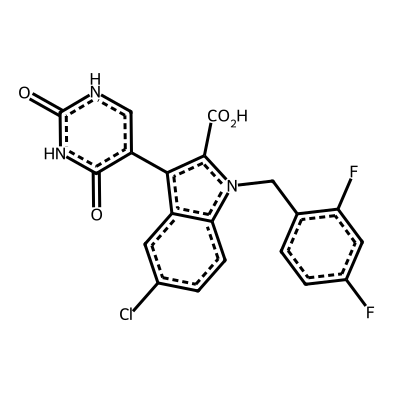 O=C(O)c1c(-c2c[nH]c(=O)[nH]c2=O)c2cc(Cl)ccc2n1Cc1ccc(F)cc1F